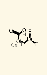 O=C(O)O.[Ce].[F][La]([F])[F]